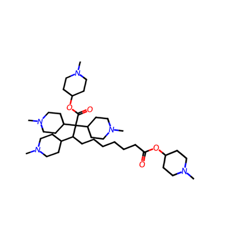 CN1CCC(OC(=O)CCCCCCC(C2CCN(C)CC2)C(C(=O)OC2CCN(C)CC2)(C2CCN(C)CC2)C2CCN(C)CC2)CC1